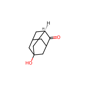 O=C1C2CC3C[C@@H]1CC(O)(C3)C2